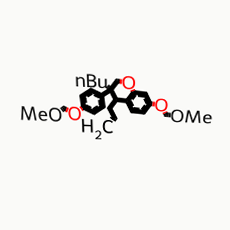 C=CCC1c2ccc(OCOC)cc2OCC1(CCCC)c1ccc(OCOC)cc1